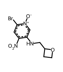 O=[N+]([O-])c1cc(Br)[n+]([O-])cc1NCC1CCO1